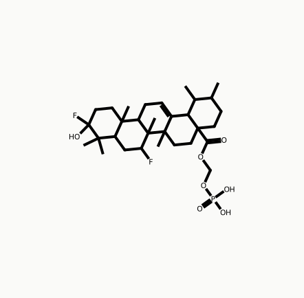 CC1CCC2(C(=O)OCOP(=O)(O)O)CCC3(C)C(=CCC4C5(C)CCC(O)(F)C(C)(C)C5CC(F)C43C)C2C1C